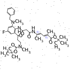 C/C(=C\C=C(/C)C(=O)OC(C)(C)C)NC(=O)CC(=O)Nc1c(C(=O)CCN(C)C(=O)OC(C)(C)C)cc(F)cc1N(C)Cc1ccccc1